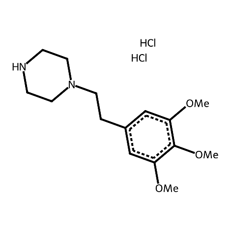 COc1cc(CCN2CCNCC2)cc(OC)c1OC.Cl.Cl